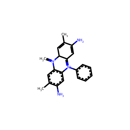 C=[N+]1c2cc(C)c(N)cc2[N+](c2ccccc2)=C2C=C(N)C(C)=CC21